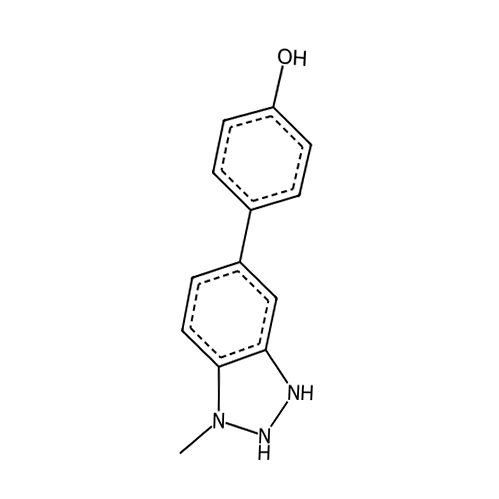 CN1NNc2cc(-c3ccc(O)cc3)ccc21